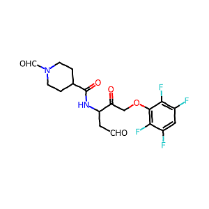 O=CCC(NC(=O)C1CCN(C=O)CC1)C(=O)COc1c(F)c(F)cc(F)c1F